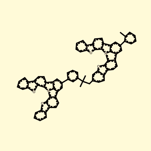 Cc1ccccc1-c1cc2c3ccc4c5ccccc5oc4c3n3c2c(c1)c1ccc2c4ccc(CC(C)(C)c5cccc(-c6cc7c8ccc9c%10ccccc%10oc9c8n8c7c(c6)c6ccc7c9ccccc9oc7c68)c5)cc4oc2c13